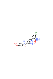 O=C(Nc1ccc(CO)cc1)c1ccc2[nH]c(-c3ccc(Cl)c4c3C(=O)NC4)cc2c1